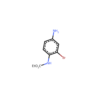 CCOC(=O)Nc1ccc(N)cc1Br